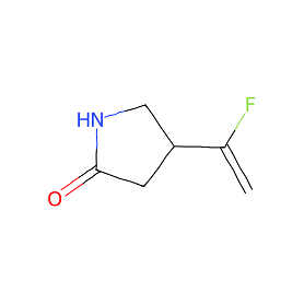 C=C(F)C1CNC(=O)C1